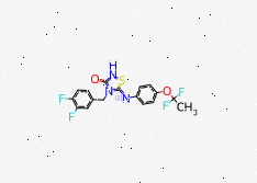 CC(F)(F)Oc1ccc(/N=c2\s[nH]c(=O)n2Cc2ccc(F)c(F)c2)cc1